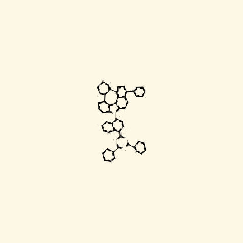 c1ccc(-c2nc(-c3ccccc3)nc(-c3ccc(-n4c5cccc6c5c5c7c(ccc(-c8ccccc8)c7ccc54)-c4ccccc4-6)c4ccccc34)n2)cc1